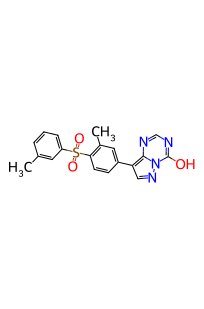 Cc1cccc(S(=O)(=O)c2ccc(-c3cnn4c(O)ncnc34)cc2C)c1